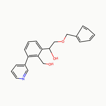 OCc1c(-c2cccnc2)cccc1C(O)COCc1ccccc1